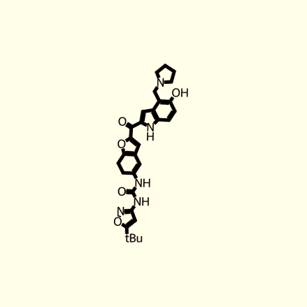 CC(C)(C)c1cc(NC(=O)NC2=Cc3cc(C(=O)c4cc5c(CN6CCCC6)c(O)ccc5[nH]4)oc3CC2)no1